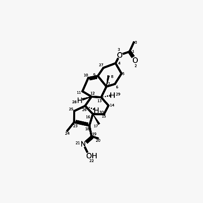 CC(=O)OC1CC[C@@]2(C)C(=CC[C@@H]3[C@@H]2CC[C@]2(C)C(/C(C)=N/O)=C(C)C[C@@H]32)C1